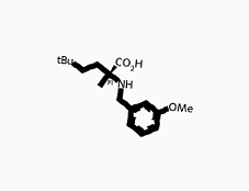 COc1cccc(CN[C@](C)(CCC(C)(C)C)C(=O)O)c1